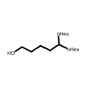 CCCCCCC(CCCCO)CCCCCC